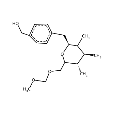 COCOCC1O[C@@H](Cc2ccc(CO)cc2)C(C)[C@@H](C)[C@@H]1C